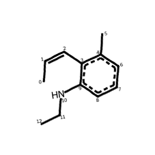 C/C=C\c1c(C)cccc1NCC